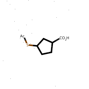 CC(=O)SC1CCC(C(=O)O)C1